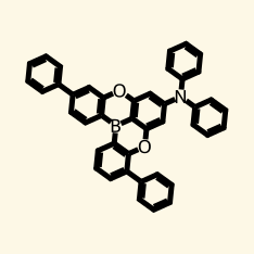 c1ccc(-c2ccc3c(c2)Oc2cc(N(c4ccccc4)c4ccccc4)cc4c2B3c2cccc(-c3ccccc3)c2O4)cc1